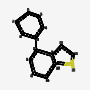 [c]1cc(-c2ccccc2)c2ccsc2c1